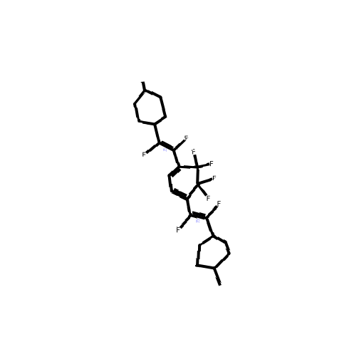 CC1CCC(/C(F)=C(\F)C2=CC=C(/C(F)=C(\F)C3CCC(C)CC3)C(F)(F)C2(F)F)CC1